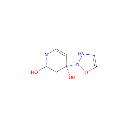 OC1=NC=CC(O)(N2NC=CO2)C1